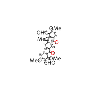 COc1ccc(C(=O)c2cccc(C(=O)c3ccc(OC)c(C=O)c3OC)c2)c(OC)c1C=O